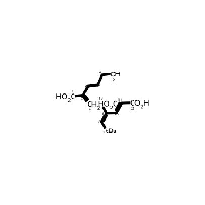 C=C(CCCO)C(=O)O.CC(C)(C)C=C(C=CC(=O)O)C(=O)O